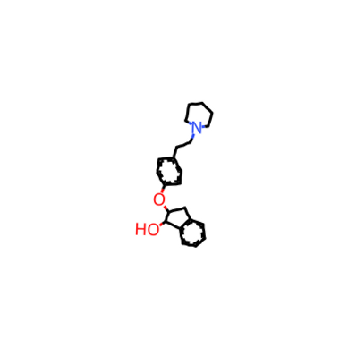 OC1c2ccccc2CC1Oc1ccc(CCN2CCCCC2)cc1